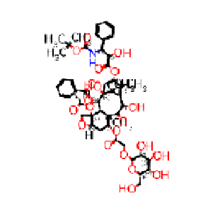 CC(=O)O[C@@]12CO[C@@H]1C[C@H](OC(=O)COC1O[C@H](CO)[C@@H](O)[C@H](O)[C@H]1O)[C@@]1(C)C(=O)[C@H](O)C3=C(C)[C@@H](OC(=O)[C@H](O)[C@@H](NC(=O)OC(C)(C)C)c4ccccc4)C[C@@](O)([C@@H](OC(=O)c4ccccc4)C12)C3(C)C